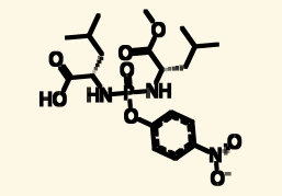 COC(=O)[C@H](CC(C)C)NP(=O)(N[C@@H](CC(C)C)C(=O)O)Oc1ccc([N+](=O)[O-])cc1